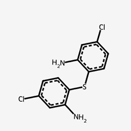 Nc1cc(Cl)ccc1Sc1ccc(Cl)cc1N